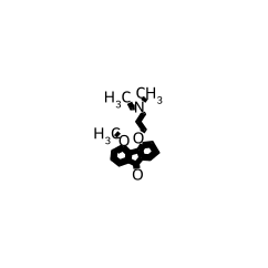 CCN(CC)CCCOc1cccc2c1-c1c(OC)cccc1C2=O